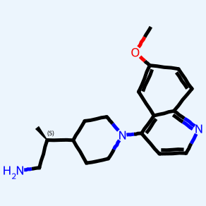 COc1ccc2nccc(N3CCC([C@H](C)CN)CC3)c2c1